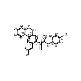 CC(C)=Cc1nc2c(nc1NC(=O)Cc1ccc(I)cc1)CCC1C=CC=CC21